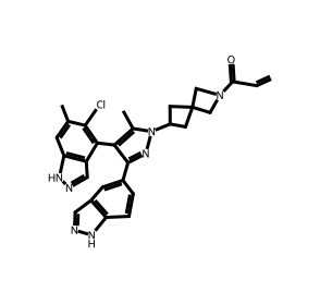 C=CC(=O)N1CC2(CC(n3nc(-c4ccc5[nH]ncc5c4)c(-c4c(Cl)c(C)cc5[nH]ncc45)c3C)C2)C1